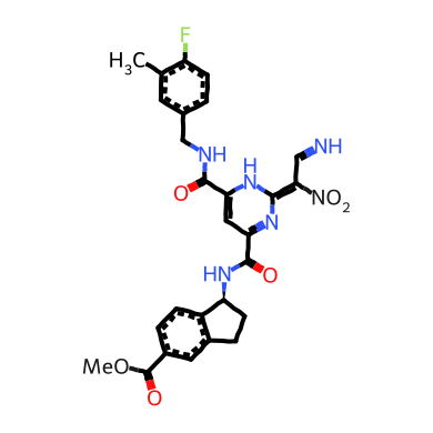 COC(=O)c1ccc2c(c1)CC[C@@H]2NC(=O)C1=N/C(=C(/C=N)[N+](=O)[O-])NC(C(=O)NCc2ccc(F)c(C)c2)=C1